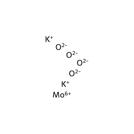 [K+].[K+].[Mo+6].[O-2].[O-2].[O-2].[O-2]